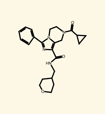 O=C(NCC1CCOCC1)c1nc(-c2ccccc2)n2c1CN(C(=O)C1CC1)CC2